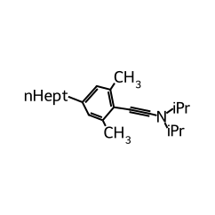 CCCCCCCc1cc(C)c(C#CN(C(C)C)C(C)C)c(C)c1